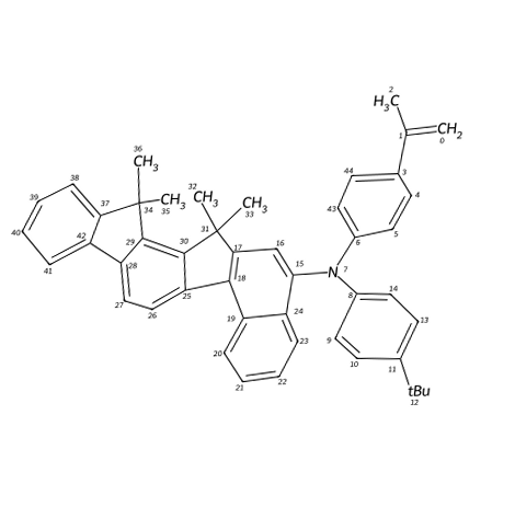 C=C(C)c1ccc(N(c2ccc(C(C)(C)C)cc2)c2cc3c(c4ccccc24)-c2ccc4c(c2C3(C)C)C(C)(C)c2ccccc2-4)cc1